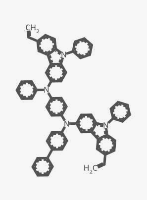 C=Cc1ccc2c(c1)c1cc(N(c3ccccc3)c3ccc(N(c4ccc(-c5ccccc5)cc4)c4ccc5c(c4)c4cc(C=C)ccc4n5-c4ccccc4)cc3)ccc1n2-c1ccccc1